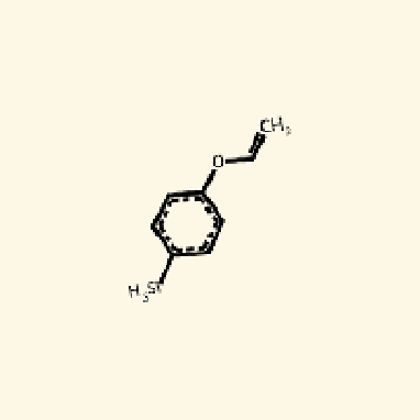 C=COc1ccc([SiH3])cc1